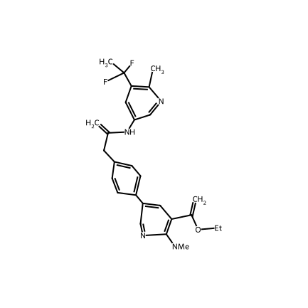 C=C(Cc1ccc(-c2cnc(NC)c(C(=C)OCC)c2)cc1)Nc1cnc(C)c(C(C)(F)F)c1